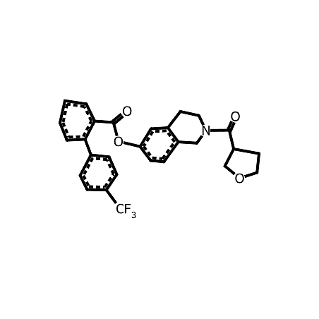 O=C(Oc1ccc2c(c1)CCN(C(=O)C1CCOC1)C2)c1ccccc1-c1ccc(C(F)(F)F)cc1